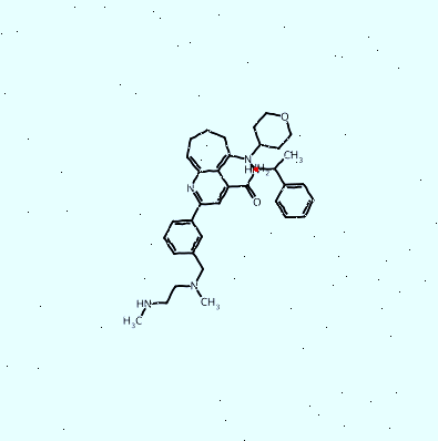 CNCCN(C)Cc1cccc(-c2cc(C(=O)NC(C)c3ccccc3)c3c(n2)=CCCCC=3N(N)C2CCOCC2)c1